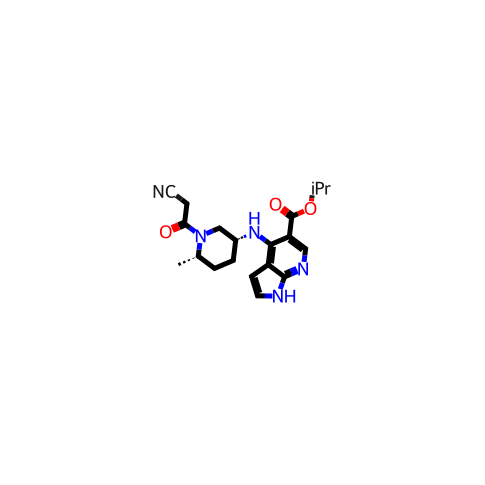 CC(C)OC(=O)c1cnc2[nH]ccc2c1N[C@@H]1CC[C@H](C)N(C(=O)CC#N)C1